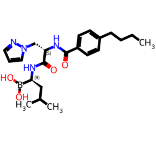 CCCCc1ccc(C(=O)N[C@@H](Cn2cccn2)C(=O)N[C@@H](CC(C)C)B(O)O)cc1